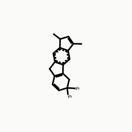 CC1=CC(C)c2cc3c(cc21)C1=C(C=CC(C(C)C)(C(C)C)C1)C3